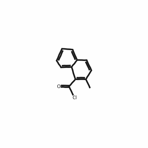 Cc1ccc2ccccc2c1C(=O)Cl